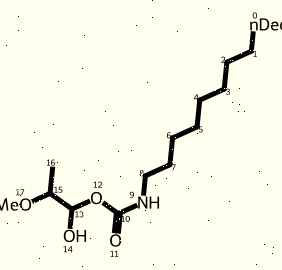 CCCCCCCCCCCCCCCCCCNC(=O)OC(O)C(C)OC